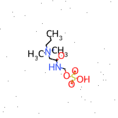 CCC[N+](C)(C)CC(=O)NCOS(=O)(=O)O